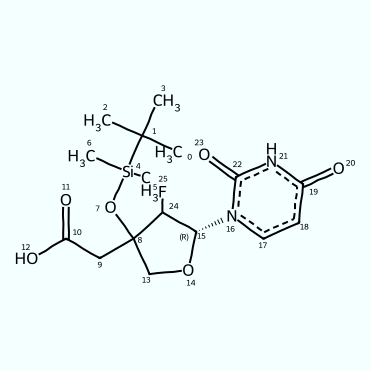 CC(C)(C)[Si](C)(C)OC1(CC(=O)O)CO[C@@H](n2ccc(=O)[nH]c2=O)C1F